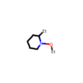 CCON1CCCCC1CC